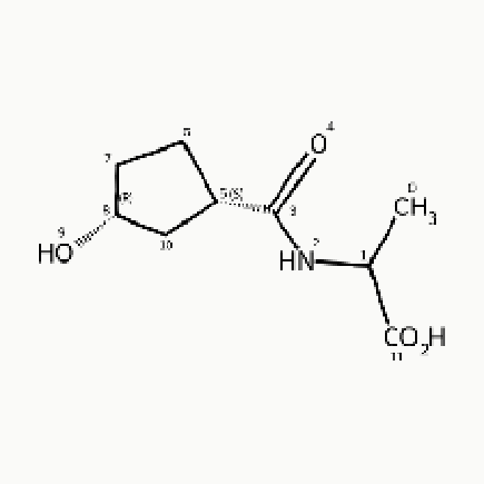 CC(NC(=O)[C@H]1CC[C@@H](O)C1)C(=O)O